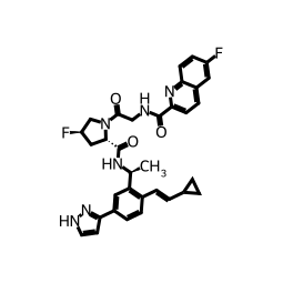 C[C@H](NC(=O)[C@@H]1C[C@@H](F)CN1C(=O)CNC(=O)c1ccc2cc(F)ccc2n1)c1cc(-c2cc[nH]n2)ccc1/C=C/C1CC1